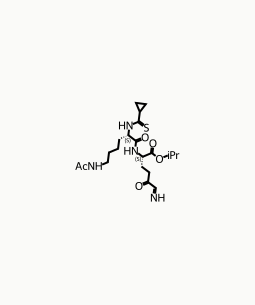 CC(=O)NCCCC[C@H](NC(=S)C1CC1)C(=O)N[C@@H](CCC(=O)C=N)C(=O)OC(C)C